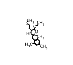 CCOC(=O)[C@H](CCSC)NC(=O)Cc1c(C)cc(C)cc1C